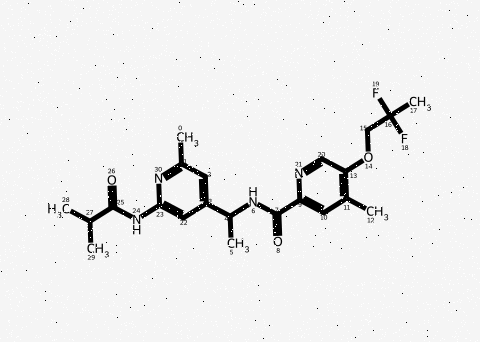 Cc1cc(C(C)NC(=O)c2cc(C)c(OCC(C)(F)F)cn2)cc(NC(=O)C(C)C)n1